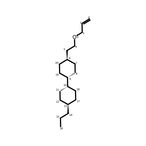 C=CCOCC[C@H]1CC[C@H]([C@H]2CC[C@H](CCC)CC2)CC1